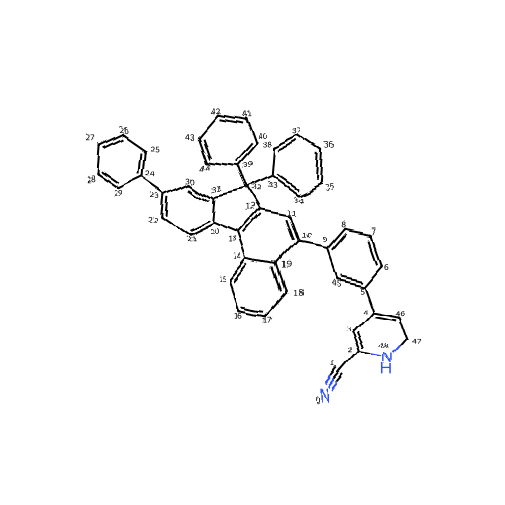 N#CC1=CC(c2cccc(-c3cc4c(c5ccccc35)-c3ccc(-c5ccccc5)cc3C4(c3ccccc3)c3ccccc3)c2)=CCN1